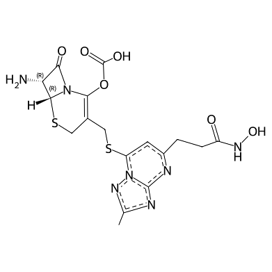 Cc1nc2nc(CCC(=O)NO)cc(SCC3=C(OC(=O)O)N4C(=O)[C@@H](N)[C@H]4SC3)n2n1